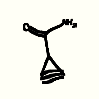 NC(=O)C1C#C1